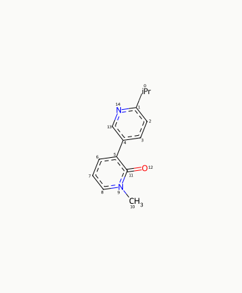 CC(C)c1ccc(-c2cccn(C)c2=O)cn1